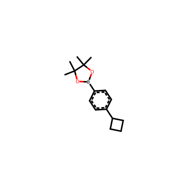 CC1(C)OB(c2ccc(C3CCC3)cc2)OC1(C)C